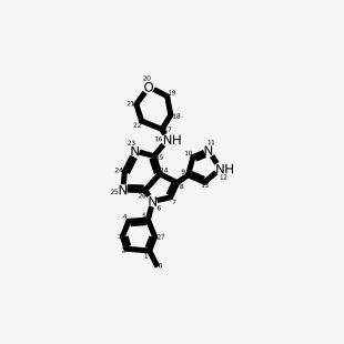 Cc1cccc(-n2cc(-c3cn[nH]c3)c3c(NC4CCOCC4)ncnc32)c1